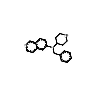 c1ccc(CN(c2ccc3cnccc3c2)C2CCNCC2)cc1